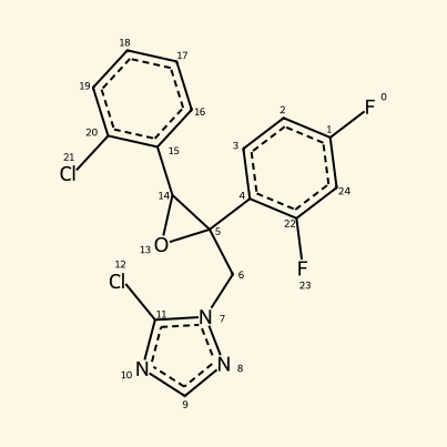 Fc1ccc(C2(Cn3ncnc3Cl)OC2c2ccccc2Cl)c(F)c1